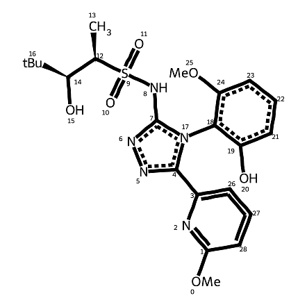 COC1=NC(c2nnc(NS(=O)(=O)[C@H](C)[C@@H](O)C(C)(C)C)n2-c2c(O)cccc2OC)=C=C=C1